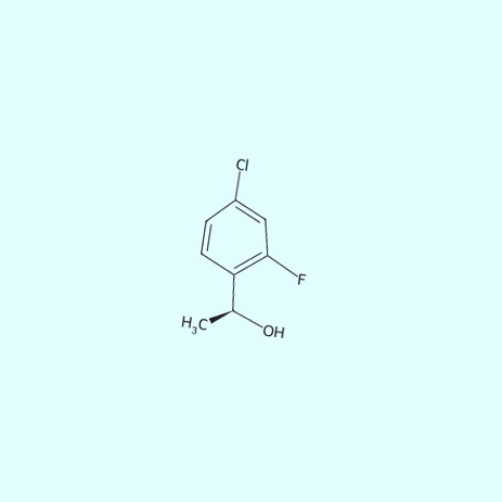 C[C@H](O)c1ccc(Cl)cc1F